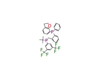 CC(C)(C)P(Cc1ccccc1P(c1ccccc1)c1cccc2c1OCC2)c1cc(C(F)(F)F)cc(C(F)(F)F)c1